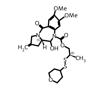 C=C1C[C@H]2C(O)N(C(=O)OC[C@@H](C)SSC3CCOCC3)c3cc(OC)c(OC)cc3C(=O)N2C1